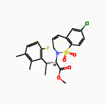 COC(=O)[C@H](C(C)c1c(F)ccc(C)c1C)N1CC=Cc2cc(Cl)ccc2S1(=O)=O